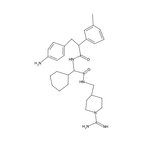 Cc1cccc(C(Cc2ccc(N)cc2)C(=O)NC(C(=O)NCC2CCN(C(=N)N)CC2)C2CCCCC2)c1